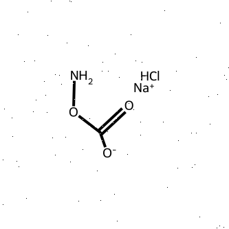 Cl.NOC(=O)[O-].[Na+]